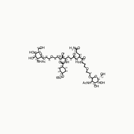 CC(=O)N[C@H]1C(OCCOCCNC(=O)C(CCC(N)=O)NC(=O)CCC(NC(=O)C2CCC(OC(C)(C)C)CC2)C(=O)NCCOCCOC2O[C@H](CO)[C@H](O)[C@H](O)[C@H]2NC(C)=O)O[C@H](CO)[C@H](O)[C@@H]1O